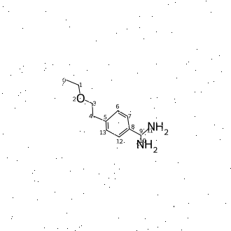 CCOCCc1ccc(C(N)N)cc1